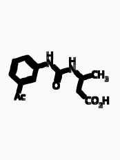 CC(=O)c1cccc(NC(=O)NC(C)CC(=O)O)c1